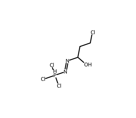 OC(CCCl)N=N[PH](Cl)(Cl)Cl